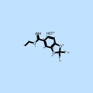 CCOC(=N)c1ccc2c(c1)OC(F)(F)O2.Cl